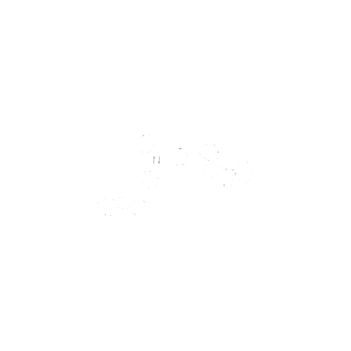 c1ccc(N(c2ccc(-c3cccc4c3ccc3oc5ccccc5c34)cc2)c2ccc(-c3cccc4c3sc3ccccc34)cc2)cc1